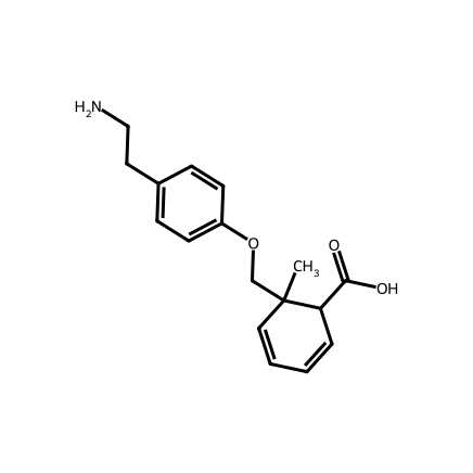 CC1(COc2ccc(CCN)cc2)C=CC=CC1C(=O)O